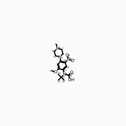 COc1cc(N2CCN(C)CC2)c([N+](=O)[O-])cc1N(C(=O)O)C(C)(C)C